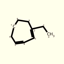 CCC1=CC=CCCCC1